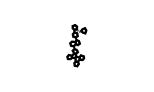 c1ccc(-n2c3ccccc3c3ccc(-c4cccc5c(-c6ccc7c(c6)c6ccccc6c6c8ccccc8c8ccccc8c76)cccc45)cc32)cc1